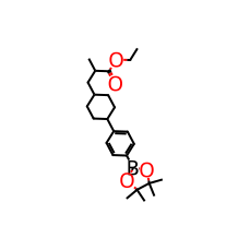 CCOC(=O)C(C)CC1CCC(c2ccc(B3OC(C)(C)C(C)(C)O3)cc2)CC1